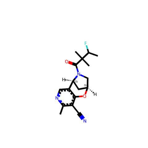 Cc1ncc2c(c1C#N)O[C@H]1C[C@@H]2N(C(=O)C(C)(C)C(C)F)C1